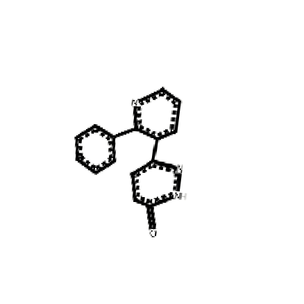 O=c1ccc(-c2cccnc2-c2ccccc2)n[nH]1